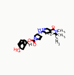 CN(C(=O)c1ccc(N[C@@H]2CCN(C(=O)O[C@H]3C4CC5CC3C[C@](O)(C5)C4)C2)nc1)C(C)(C)C